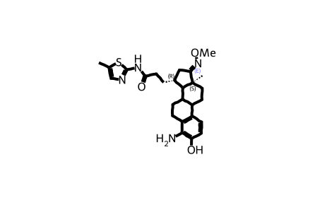 CO/N=C1\C[C@@H](CCC(=O)Nc2ncc(C)s2)C2C3CCc4c(ccc(O)c4N)C3CC[C@]12C